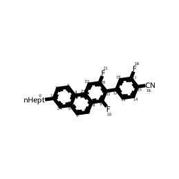 CCCCCCCc1ccc2c(ccc3c(F)c(-c4ccc(C#N)c(F)c4)c(F)cc32)c1